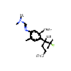 CCN(C)/C=N/c1cc(OC)c(C(CCOC)(N=O)C(C)(C)F)cc1C